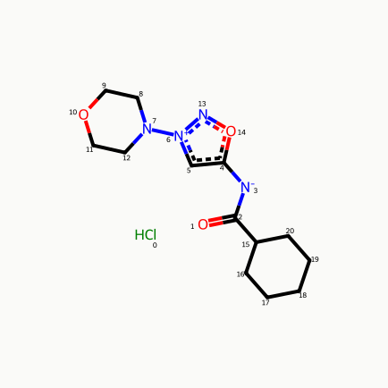 Cl.O=C([N-]c1c[n+](N2CCOCC2)no1)C1CCCCC1